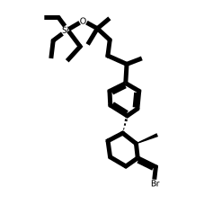 CC[Si](CC)(CC)OC(C)(C)CCC(C)c1ccc([C@H]2CCC/C(=C\Br)[C@@H]2C)cc1